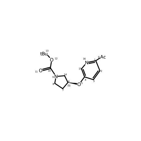 CC(=O)c1ccc(O[C@H]2CCN(C(=O)OC(C)(C)C)C2)cn1